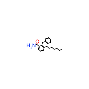 CCCCCCCc1cccc(C(N)=O)c1Cc1ccccc1